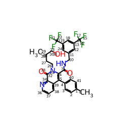 Cc1ccc(-c2c(C(=O)NCc3cc(C(F)(F)F)cc(C(F)(F)F)c3)n(CC[C@H](C)CO)c(=O)c3ncccc23)cc1